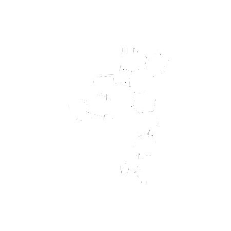 Nc1ncccc1-c1nc2ccc(-c3ccccc3F)nc2n1-c1ccc(CN2CCN(C(=O)O)CC2)cc1